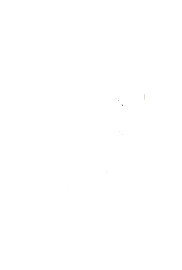 Cn1[c]c(C(F)(F)F)c(C(F)(F)F)n1